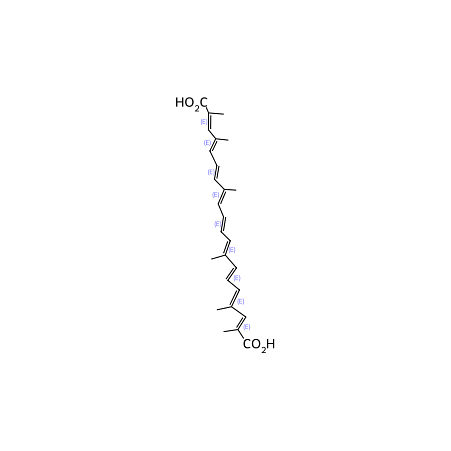 CC(/C=C/C=C(C)/C=C(\C)C(=O)O)=C\C=C\C=C(C)\C=C\C=C(C)\C=C(/C)C(=O)O